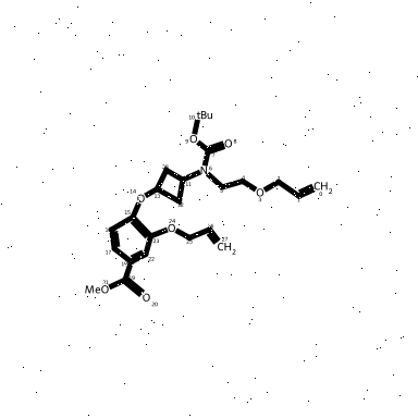 C=CCOCCN(C(=O)OC(C)(C)C)C1CC(Oc2ccc(C(=O)OC)cc2OCC=C)C1